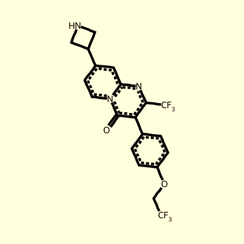 O=c1c(-c2ccc(OCC(F)(F)F)cc2)c(C(F)(F)F)nc2cc(C3CNC3)ccn12